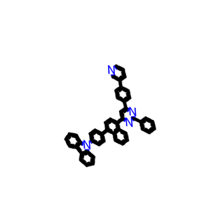 c1ccc(-c2nc(-c3ccc(-c4cccnc4)cc3)cc(-c3ccc(-c4ccc(-n5c6ccccc6c6ccccc65)cc4)c4ccccc34)n2)cc1